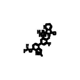 BC1(B)c2ncccc2C(=O)N1Cc1c(F)cc(-c2ccc(OC(F)F)c3nn(C)cc23)cc1F